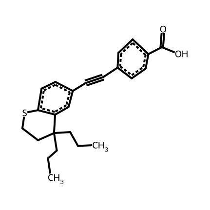 CCCC1(CCC)CCSc2ccc(C#Cc3ccc(C(=O)O)cc3)cc21